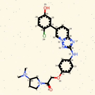 CN(C)[C@@H]1CCN(C(=O)COc2ccc(Nc3nc4ccc(-c5cc(O)ccc5Cl)cn4n3)cc2)C1